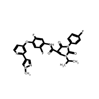 CC(C)n1cc(C(=O)Nc2cc(F)c(Oc3ccnc(-c4cnn(C)c4)c3)cc2F)c(=O)n(-c2ccc(F)cc2)c1=O